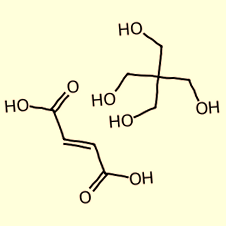 O=C(O)C=CC(=O)O.OCC(CO)(CO)CO